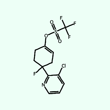 O=S(=O)(OC1=CCC(F)(c2ncccc2Cl)CC1)C(F)(F)F